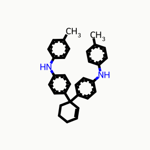 Cc1ccc(Nc2ccc(C3(c4ccc(Nc5ccc(C)cc5)cc4)C=CCCC3)cc2)cc1